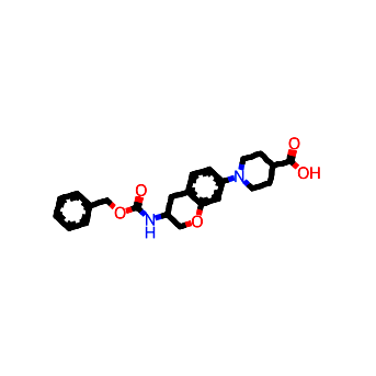 O=C(NC1COc2cc(N3CCC(C(=O)O)CC3)ccc2C1)OCc1ccccc1